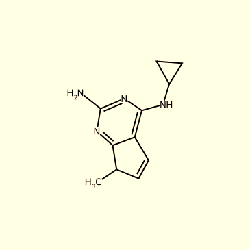 CC1C=Cc2c(NC3CC3)nc(N)nc21